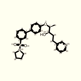 C[C@H](Oc1ccc(-c2cccc(S(=O)(=O)N3CCCC3)c2)cc1)[C@H](O)CCc1cccnc1